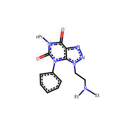 CCCn1c(=O)c2nnn(CCN(CC)CC)c2n(-c2ccccc2)c1=O